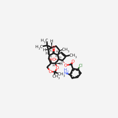 CC1=C[C@]23C(=O)[C@@H](C=C4COC(C)(C)O[C@H]4[C@]2(O)[C@H]1OC(=O)c1c(N)cccc1Cl)[C@H]1[C@@H](C[C@H]3C)C1(C)C